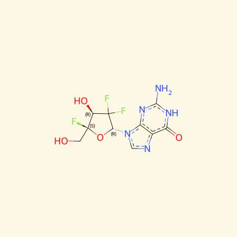 Nc1nc2c(ncn2[C@@H]2O[C@](F)(CO)[C@@H](O)C2(F)F)c(=O)[nH]1